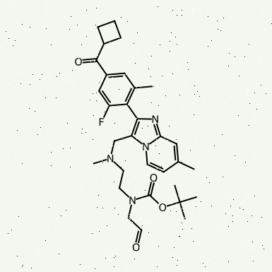 Cc1ccn2c(CN(C)CCN(CC=O)C(=O)OC(C)(C)C)c(-c3c(C)cc(C(=O)C4CCC4)cc3F)nc2c1